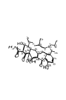 CC(C)CN(CC(C)C)C(C)c1ccc(O)c2c1CC1CC3C(N(C)C)C(O)=C(C(N)=O)C(=O)C3(O)C(O)=C1C2=O